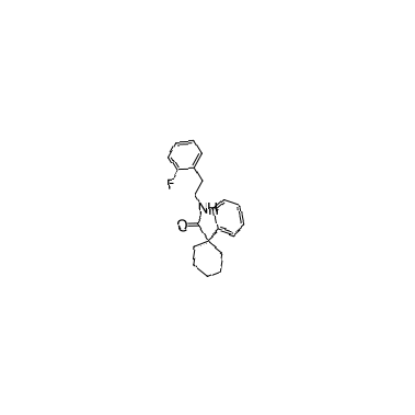 O=C(NCCc1ccccc1F)C1(c2ccccc2)CCCCC1